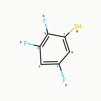 Fc1cc(F)c(F)c(S)c1